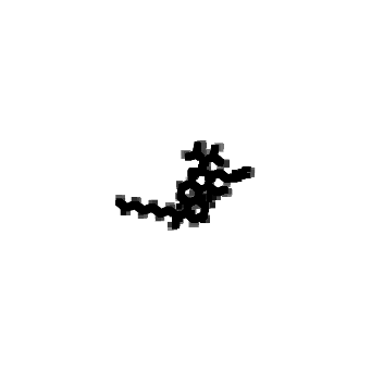 [C-]#[N+]CCOP(OC1CC[C@]2(C)C(N(C)CCCCCCC)CCC[C@H]2[C@@H]1CCC)N(C(C)C)C(C)C